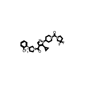 O=C(c1cnn(C2CCN(C(=O)N3CCC(F)(F)C3)CC2)c1C1CC1)N1CC[C@@H](c2ccccc2C(F)(F)F)C1